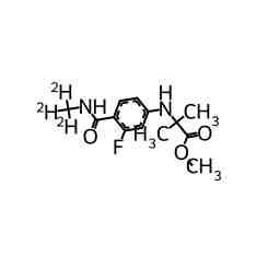 [2H]C([2H])([2H])NC(=O)c1ccc(NC(C)(C)C(=O)OC)cc1F